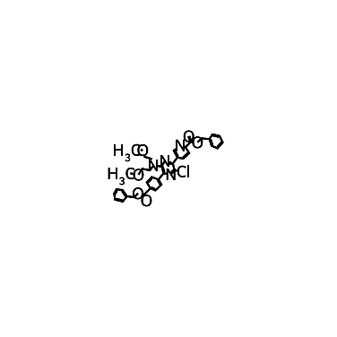 COCCN(CCOC)c1nc(-c2ccc(C(=O)OCc3ccccc3)nc2)c(Cl)nc1-c1ccc(C(=O)OCc2ccccc2)cc1